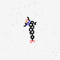 C=C(C)[C@@H]1CC[C@]2(N(CC(=O)CC)c3nc(CC)cs3)CC[C@]3(C)[C@H](CCC4[C@@]5(C)CC=C(c6ccc(C(=O)OC)cc6)C(C)(C)C5CC[C@]43C)C12